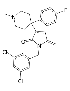 C=C1C=C(C2(c3ccc(F)cc3)CCN(C)CC2)C(=O)N1Cc1cc(Cl)cc(Cl)c1